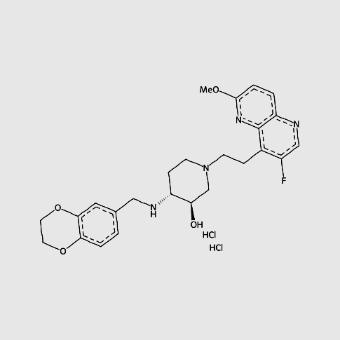 COc1ccc2ncc(F)c(CCN3CC[C@@H](NCc4ccc5c(c4)OCCO5)[C@H](O)C3)c2n1.Cl.Cl